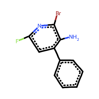 Nc1c(-c2ccccc2)cc(F)nc1Br